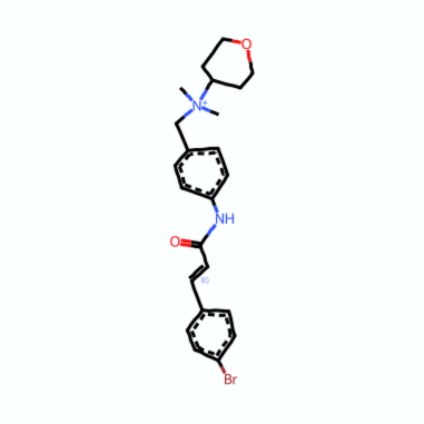 C[N+](C)(Cc1ccc(NC(=O)/C=C/c2ccc(Br)cc2)cc1)C1CCOCC1